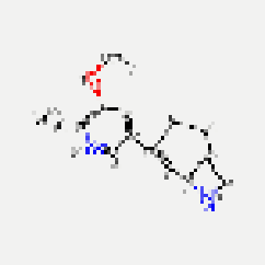 COc1cc(C2=CC3NCC3CC2)cnc1C